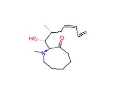 C=C/C=C\C[C@@H](C)[C@@H](O)[C@H]1C(=O)CCCCCN1C